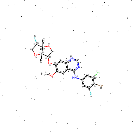 COc1cc2c(Nc3cc(F)c(Br)c(Cl)c3)ncnc2cc1O[C@@H]1CO[C@@H]2[C@H]1OC[C@H]2F